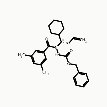 C=CC[C@@H](C1CCCCC1)N(NC(=O)OCc1ccccc1)C(=O)c1cc(C)cc(C)c1